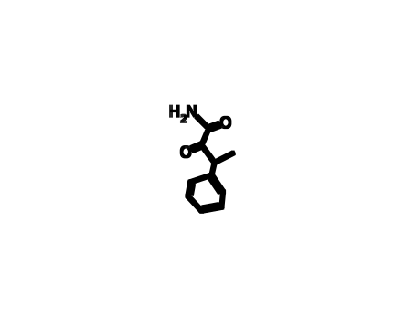 CC(C(=O)C(N)=O)c1ccccc1